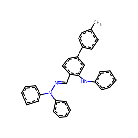 Cc1ccc(-c2ccc(C=NN(c3ccccc3)c3ccccc3)c(Nc3ccccc3)c2)cc1